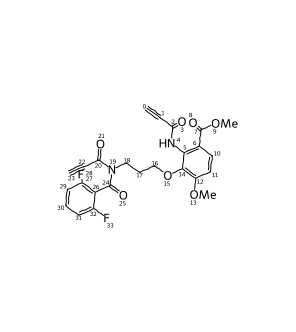 C#CC(=O)Nc1c(C(=O)OC)ccc(OC)c1OCCCN(C(=O)C#C)C(=O)c1c(F)cccc1F